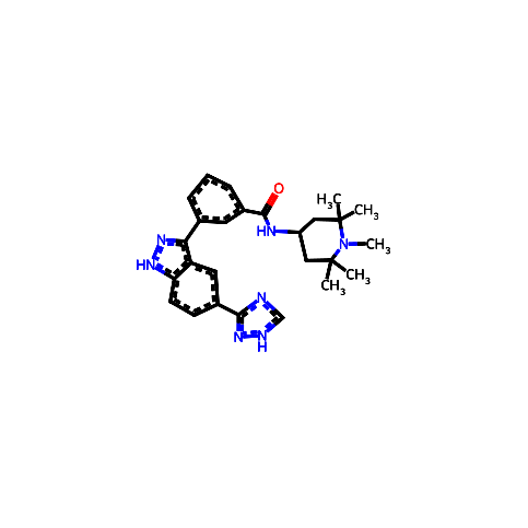 CN1C(C)(C)CC(NC(=O)c2cccc(-c3n[nH]c4ccc(-c5nc[nH]n5)cc34)c2)CC1(C)C